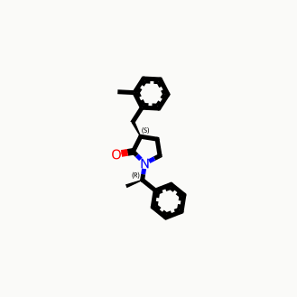 Cc1ccccc1C[C@H]1CCN([C@H](C)c2ccccc2)C1=O